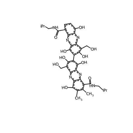 Cc1c(C)c(C(=O)NCC(C)C)c2nc3c(O)c(-c4c(O)c(CO)c5nc6c(O)ccc(C(=O)NCC(C)C)c6nc5c4O)c(O)c(CO)c3nc2c1O